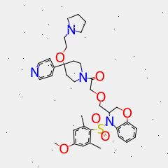 COc1cc(C)c(S(=O)(=O)N2c3ccccc3OCC2COCC(=O)N2CCC(OCCN3CCCC3)(c3ccncc3)CC2)c(C)c1